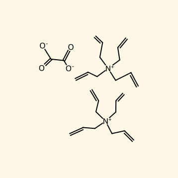 C=CC[N+](CC=C)(CC=C)CC=C.C=CC[N+](CC=C)(CC=C)CC=C.O=C([O-])C(=O)[O-]